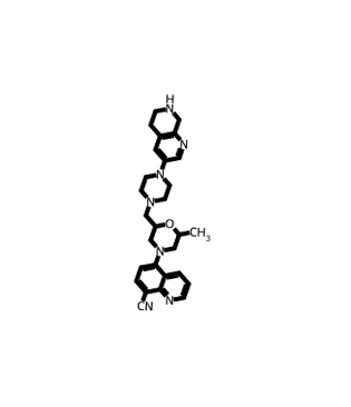 CC1CN(c2ccc(C#N)c3ncccc23)CC(CN2CCN(c3cnc4c(c3)CCNC4)CC2)O1